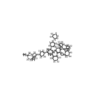 c1ccc(-c2ccc(-c3nc(-c4ccc(C56CC7C[C@@H](CC[C@H]7C5)C6)cc4)nc(-c4ccccc4-c4cccc5c4Oc4ccccc4C54c5ccccc5-c5ccccc54)n3)cc2)cc1